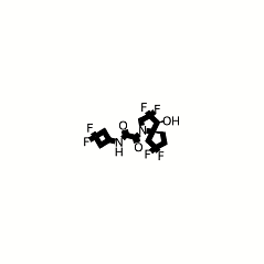 O=C(NC1CC(F)(F)C1)C(=O)N1CC(F)(F)[C@H](O)[C@@]12CCC(F)(F)C2